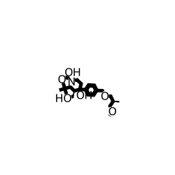 COC[C@H](C)COCc1ccc([C@@]2(O)CCN(C(=O)O)C(C(C)(C)C)[C@@H]2CO)cc1